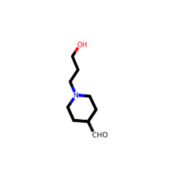 O=CC1CCN(CCCO)CC1